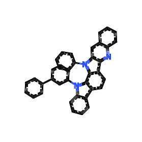 c1ccc(-c2cccc(-n3c4ccccc4c4ccc5c6nc7ccccc7cc6n(-c6ccccc6)c5c43)c2)cc1